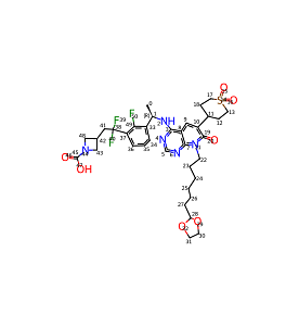 C[C@@H](Nc1ncnc2c1cc(C1CCS(=O)(=O)CC1)c(=O)n2CCCCCCC1OCCO1)c1cccc(C(F)(F)CC2CN(C(=O)O)C2)c1F